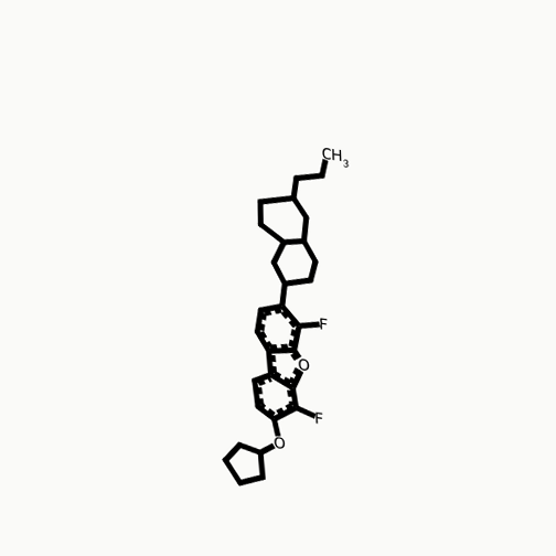 CCCC1CCC2CC(c3ccc4c(oc5c(F)c(OC6CCCC6)ccc54)c3F)CCC2C1